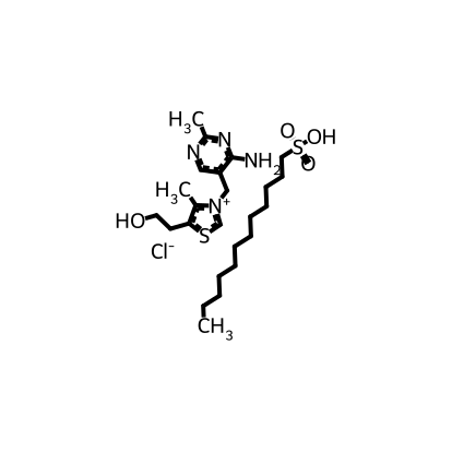 CCCCCCCCCCCCS(=O)(=O)O.Cc1ncc(C[n+]2csc(CCO)c2C)c(N)n1.[Cl-]